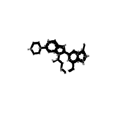 CCc1nc(-c2nc3cnc(N4CCOCC4)cc3n2[C@H](C)COC)cn2c(C)nnc12